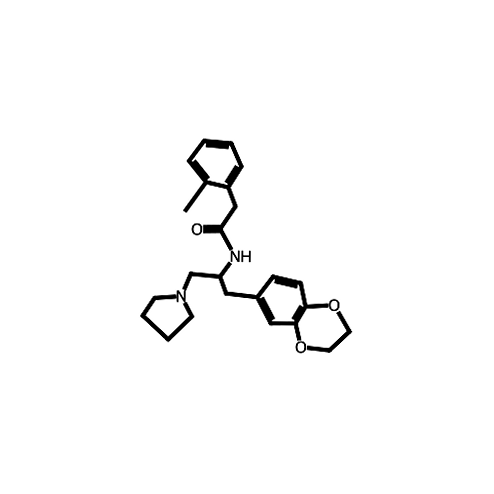 Cc1ccccc1CC(=O)NC(Cc1ccc2c(c1)OCCO2)CN1CCCC1